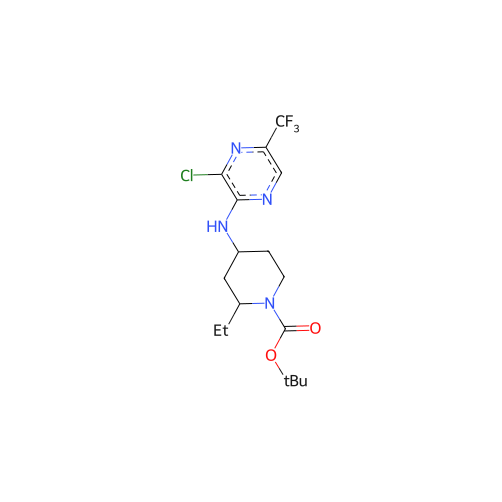 CCC1CC(Nc2ncc(C(F)(F)F)nc2Cl)CCN1C(=O)OC(C)(C)C